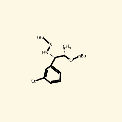 CCCCO[C@@H](C)[C@@H](NSC(C)(C)C)c1cccc(CC)c1